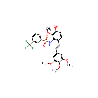 COc1cc(C=Cc2ccc(O)c(OC)c2NS(=O)(=O)c2cccc(C(F)(F)F)c2)cc(OC)c1OC